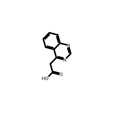 O=C(O)Cc1ncnc2ccccc12